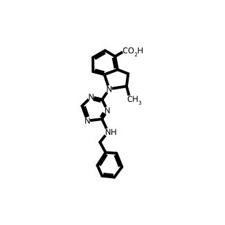 CC1Cc2c(C(=O)O)cccc2N1c1ncnc(NCc2ccccc2)n1